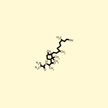 CC1=C(CCC(C)CCCC(C)CCO)C(C)(C)C(C(=O)[C@H](C)NC(=O)[C@H](C)N)CC1